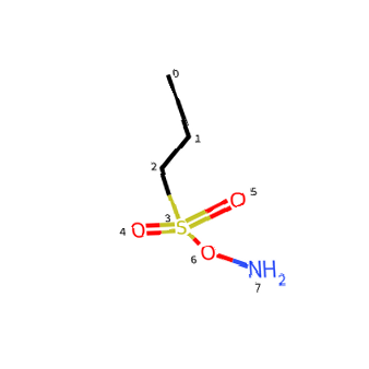 CCCS(=O)(=O)ON